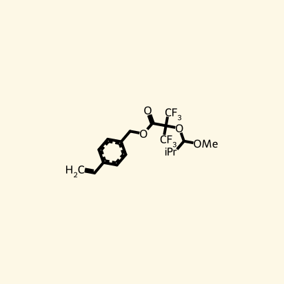 C=Cc1ccc(COC(=O)C(OC(OC)C(C)C)(C(F)(F)F)C(F)(F)F)cc1